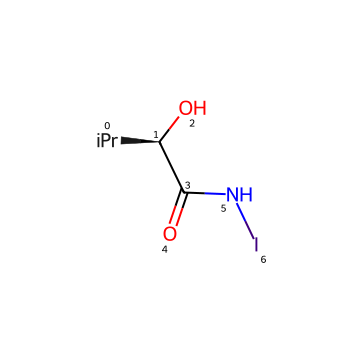 CC(C)[C@@H](O)C(=O)NI